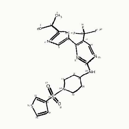 CC(O)c1ncc(-c2nc(NC3CCN(S(=O)(=O)c4ccsc4)CC3)ncc2C(F)(F)F)s1